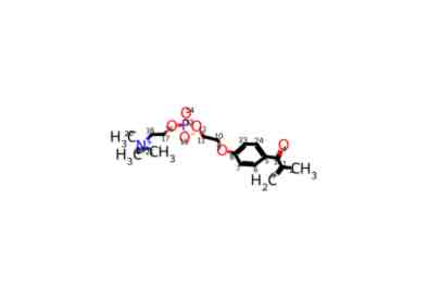 C=C(C)C(=O)c1ccc(OCCOP(=O)([O-])OCC[N+](C)(C)C)cc1